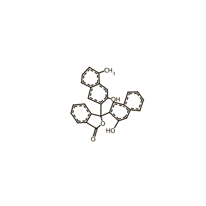 Cc1cccc2cc(C3(c4cc5ccccc5cc4O)OC(=O)c4ccccc43)c(O)cc12